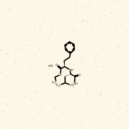 CCOC(=O)[C@@H](CCc1ccccc1)N[C@@H](CC(C)C)C(=O)O.Cl